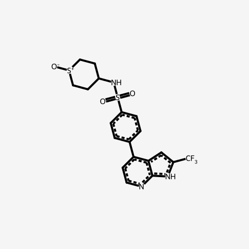 O=S(=O)(NC1CC[S+]([O-])CC1)c1ccc(-c2ccnc3[nH]c(C(F)(F)F)cc23)cc1